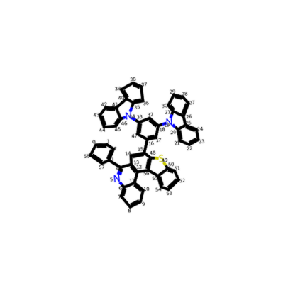 c1ccc(-c2nc3ccccc3c3c2cc(-c2cc(-n4c5ccccc5c5ccccc54)cc(-n4c5ccccc5c5ccccc54)c2)c2sc4ccccc4c23)cc1